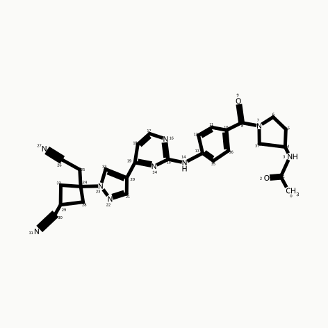 CC(=O)NC1CCN(C(=O)c2ccc(Nc3nccc(-c4cnn(C5(CC#N)CC(C#N)C5)c4)n3)cc2)C1